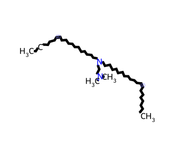 CCCCCCCC/C=C\CCCCCCCCCCCCN(CCCCCCCCCCCC/C=C\CCCCCCCC)CCCN(C)C